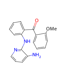 COc1ccccc1C(=O)c1ccccc1Nc1ncccc1N